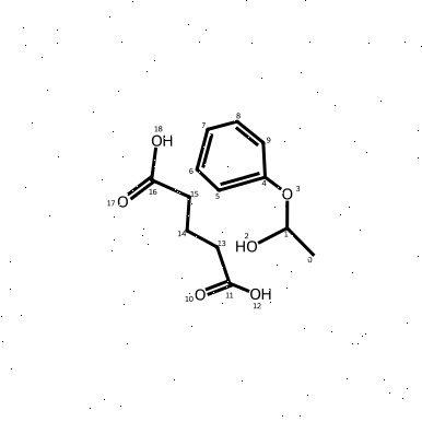 CC(O)Oc1ccccc1.O=C(O)CCCC(=O)O